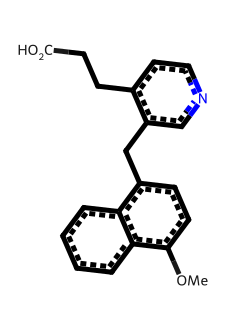 COc1ccc(Cc2cnccc2CCC(=O)O)c2ccccc12